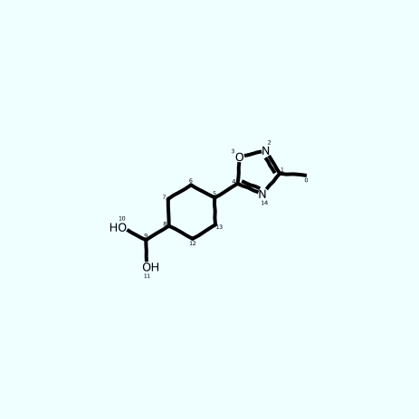 Cc1noc(C2CCC(C(O)O)CC2)n1